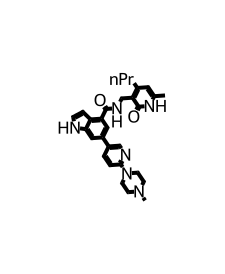 CCCc1cc(C)[nH]c(=O)c1CNC(=O)c1cc(-c2ccc(N3CCN(C)CC3)nc2)cc2[nH]ccc12